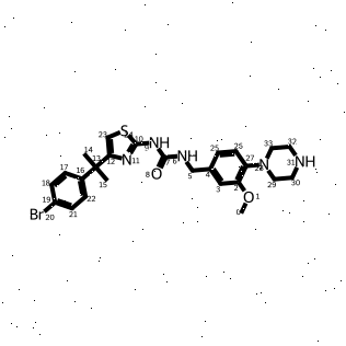 COc1cc(CNC(=O)Nc2nc(C(C)(C)c3ccc(Br)cc3)cs2)ccc1N1CCNCC1